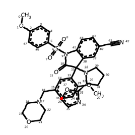 COc1ccc(S(=O)(=O)N2C(=O)C(c3cc(CN4CCOCC4)ccc3OC)(N3CCC[C@H]3c3ncco3)c3cc(C#N)ccc32)cc1